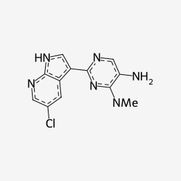 CNc1nc(-c2c[nH]c3ncc(Cl)cc23)ncc1N